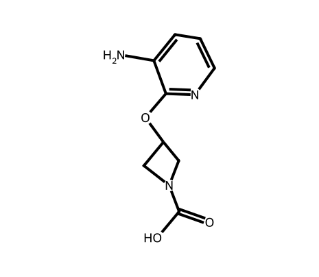 Nc1cccnc1OC1CN(C(=O)O)C1